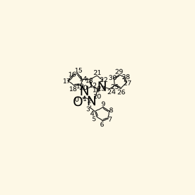 O=C1N(Cc2ccccc2)CC2c3c(c4ccccc4n31)CCN2Cc1ccccc1